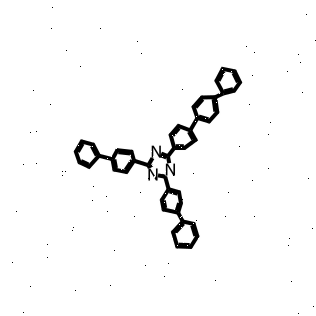 c1ccc(-c2ccc(-c3ccc(-c4nc(-c5ccc(-c6ccccc6)cc5)nc(-c5ccc(-c6ccccc6)cc5)n4)cc3)cc2)cc1